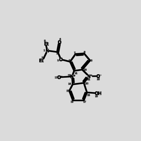 CCN(CC)C(=O)Oc1cccc2c1[n+]([O-])c1cccc(O)c1[n+]2[O-]